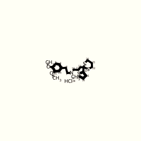 COc1ccc(CCN(C)C[CH]CC2(c3cccs3)SCCCS2)cc1OC.Cl